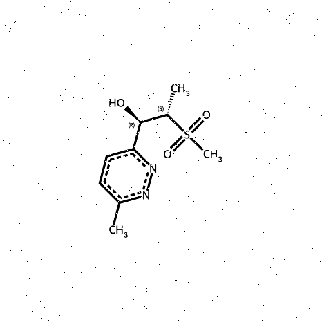 Cc1ccc([C@@H](O)[C@H](C)S(C)(=O)=O)nn1